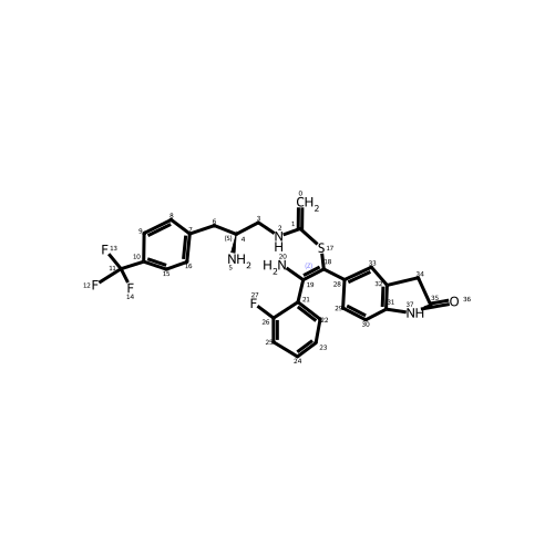 C=C(NC[C@@H](N)Cc1ccc(C(F)(F)F)cc1)S/C(=C(\N)c1ccccc1F)c1ccc2c(c1)CC(=O)N2